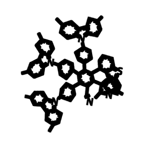 Cc1ccc2c(c1)c1cc(C)ccc1n2-c1ccc(-c2c(C#N)c(-c3ccc(C)nc3C)c(-c3cccc4sc5ccccc5c34)c(-c3ccc(-n4c5ccc(C)cc5c5cc(C)ccc54)cc3)c2-c2ccc(-n3c4ccc(C)cc4c4cc(C)ccc43)cc2)cc1